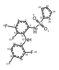 O=S(=O)(Nc1ccc(F)c(F)c1Nc1ccc(I)cc1F)c1cccs1